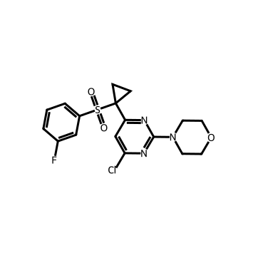 O=S(=O)(c1cccc(F)c1)C1(c2cc(Cl)nc(N3CCOCC3)n2)CC1